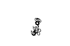 O=C(NCc1ccc2c(c1)OCCO2)n1sc2ncccc2c1=O